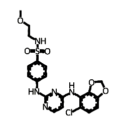 COCCNS(=O)(=O)c1ccc(Nc2nccc(Nc3c(Cl)ccc4c3OCO4)n2)cc1